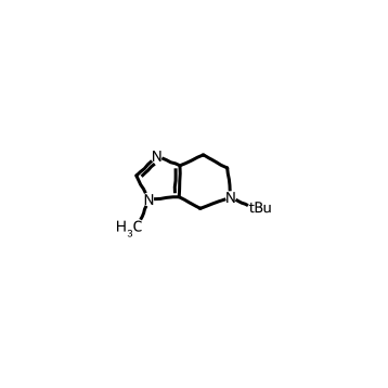 Cn1cnc2c1CN(C(C)(C)C)CC2